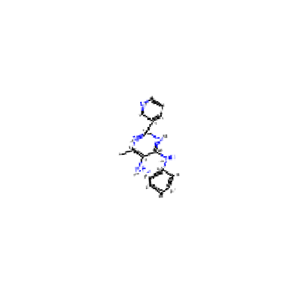 Cc1nc(-c2cccnc2)nc(Nc2ccccc2)c1N